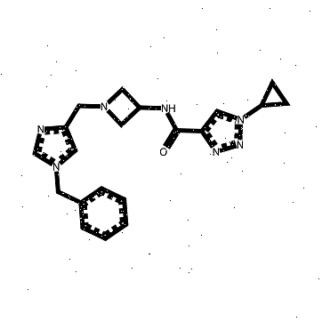 O=C(NC1CN(Cc2cn(Cc3ccccc3)cn2)C1)c1cn(C2CC2)nn1